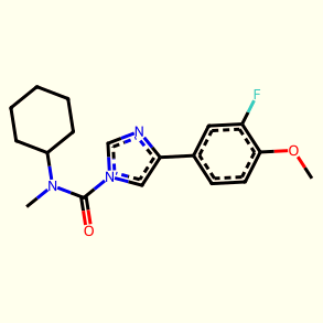 COc1ccc(-c2cn(C(=O)N(C)C3CCCCC3)cn2)cc1F